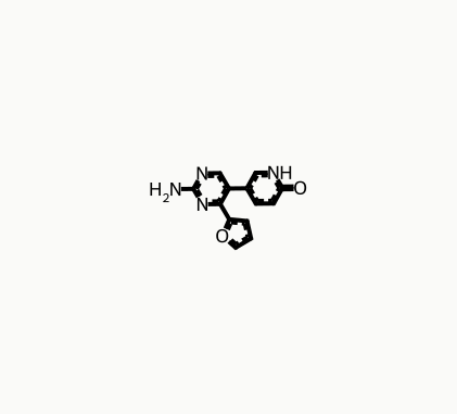 Nc1ncc(-c2ccc(=O)[nH]c2)c(-c2ccco2)n1